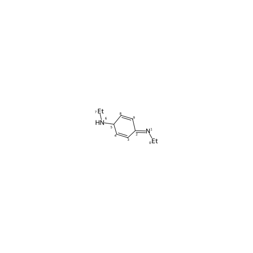 CCN=C1C=CC(NCC)C=C1